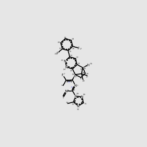 C=N/C(=N\C(=C(/C)F)[C@@]12CC[C@@H](c3cc(-c4c(F)cccc4F)nnc31)C2(C)C)n1ncnc1C